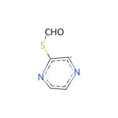 O=CSc1[c]nccn1